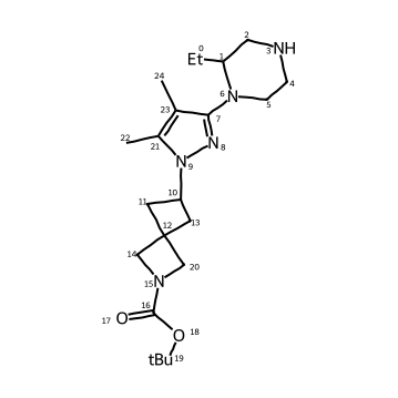 CCC1CNCCN1c1nn(C2CC3(C2)CN(C(=O)OC(C)(C)C)C3)c(C)c1C